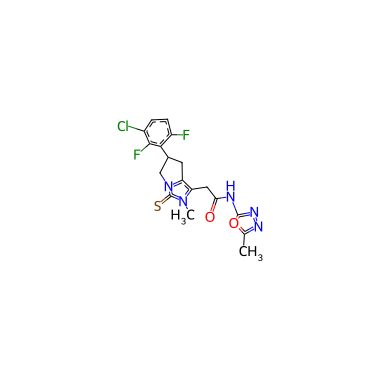 Cc1nnc(NC(=O)Cc2c3n(c(=S)n2C)CC(c2c(F)ccc(Cl)c2F)C3)o1